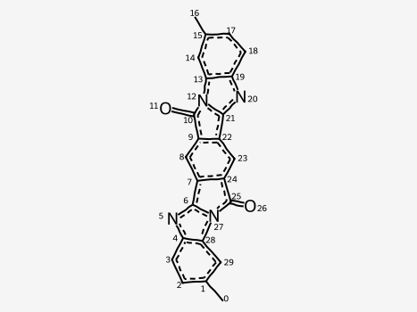 Cc1ccc2nc3c4cc5c(=O)n6c7cc(C)ccc7nc6c5cc4c(=O)n3c2c1